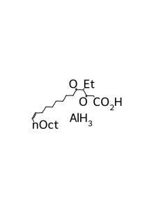 CCCCCCCC/C=C\CCCCCCCC(=O)C(CC)C(=O)CC(=O)O.[AlH3]